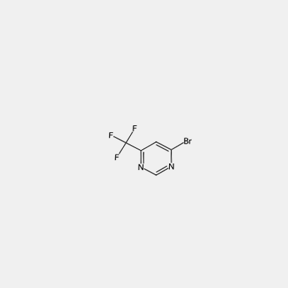 FC(F)(F)c1cc(Br)ncn1